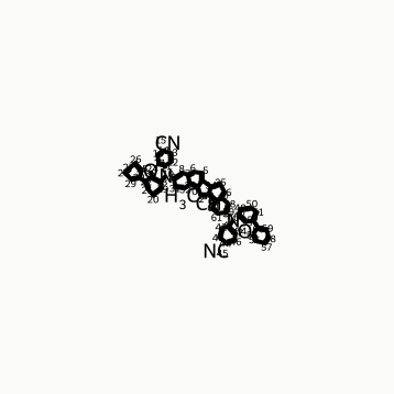 CC1(C)c2c(ccc3cc(N(c4ccc(C#N)cc4)c4cccc5c4oc4ccccc45)ccc23)-c2ccc3cc(N(c4ccc(C#N)cc4)c4cccc5c4oc4ccccc45)ccc3c21